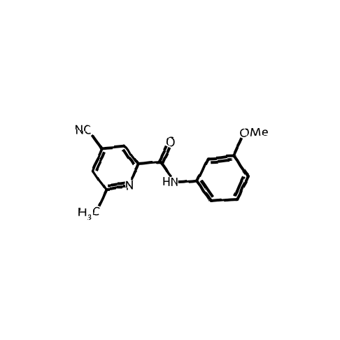 COc1cccc(NC(=O)c2cc(C#N)cc(C)n2)c1